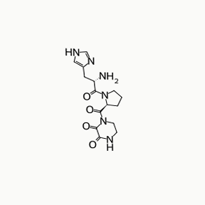 N[C@@H](Cc1c[nH]cn1)C(=O)N1CCC[C@H]1C(=O)N1CCNC(=O)C1=O